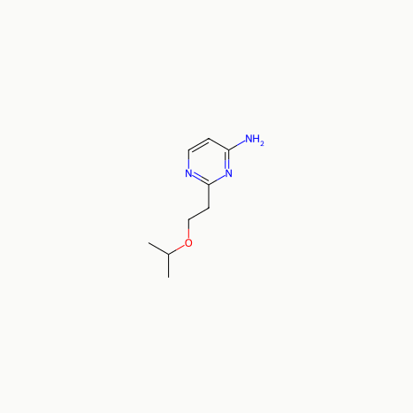 CC(C)OCCc1nccc(N)n1